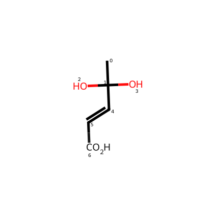 CC(O)(O)/C=C/C(=O)O